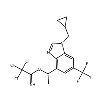 CC(OC(=N)C(Cl)(Cl)Cl)c1cc(C(F)(F)F)cc2c1ncn2CC1CC1